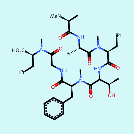 CN[C@@H](C)C(=O)N[C@H](C(=O)N(C)[C@@H](CC(C)C)C(=O)N[C@H](C(=O)N(C)[C@@H](Cc1ccccc1)C(=O)NCC(=O)N(C)[C@@H](CC(C)C)C(=O)O)[C@@H](C)O)C(C)C